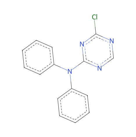 Clc1ncnc(N(c2ccccc2)c2ccccc2)n1